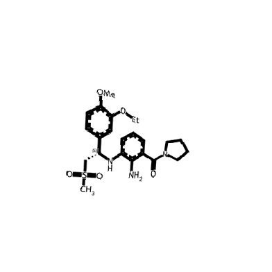 CCOc1cc([C@@H](CS(C)(=O)=O)Nc2cccc(C(=O)N3CCCC3)c2N)ccc1OC